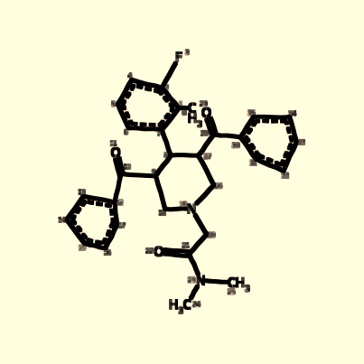 Cc1c(F)cccc1C1C(C(=O)c2ccccc2)CN(CC(=O)N(C)C)CC1C(=O)c1ccccc1